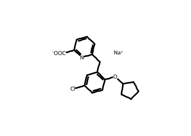 O=C([O-])c1cccc(Cc2cc(Cl)ccc2OC2CCCC2)n1.[Na+]